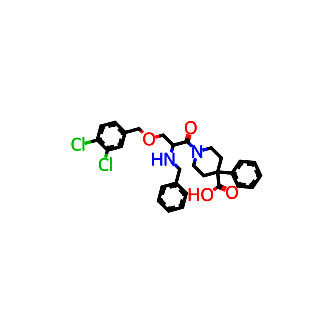 O=C(C(COCc1ccc(Cl)c(Cl)c1)NCc1ccccc1)N1CCC(C(=O)O)(c2ccccc2)CC1